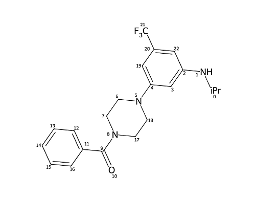 CC(C)Nc1cc(N2CCN(C(=O)c3ccccc3)CC2)cc(C(F)(F)F)c1